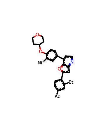 CCc1cc(C(C)=O)ccc1-c1cc2nccc(-c3ccc(OC4CCOCC4)c(C#N)c3)c2o1